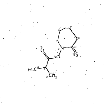 CC(C)C(=O)ON1CCCCC1=S